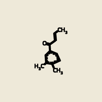 C/C=C/C(=O)c1ccc(C)c(C)c1